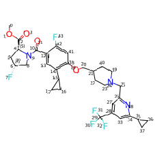 COC(=O)[C@@H]1C[C@@H](F)CN1C(=O)c1cc(C2CC2)c(OCC2CCN(Cc3cc(C(F)(F)F)cc(C4CC4)n3)CC2)cc1F